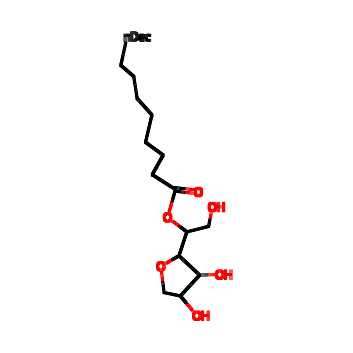 CCCCCCCCCCCCCCCCCC(=O)OC(CO)C1OCC(O)C1O